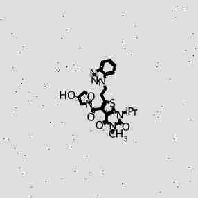 CC(C)n1c(=O)n(C)c(=O)c2c(C(=O)N3C[C@H](O)CO3)c(CCn3nnc4ccccc43)sc21